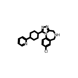 Clc1ccc2c(c1)CNCc1nnc(C3CCC(c4ccccn4)CC3)n1-2